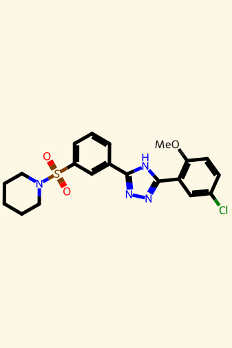 COc1ccc(Cl)cc1-c1nnc(-c2cccc(S(=O)(=O)N3CCCCC3)c2)[nH]1